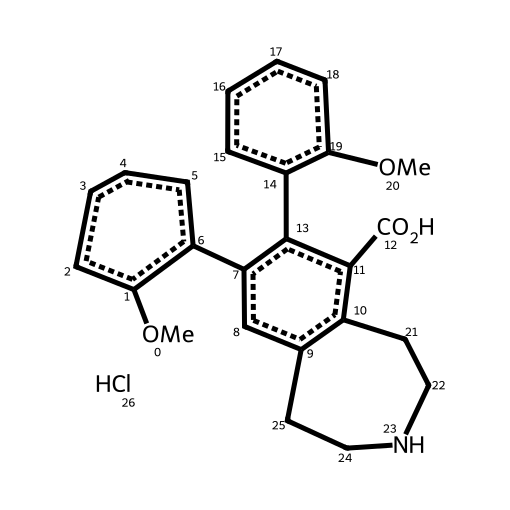 COc1ccccc1-c1cc2c(c(C(=O)O)c1-c1ccccc1OC)CCNCC2.Cl